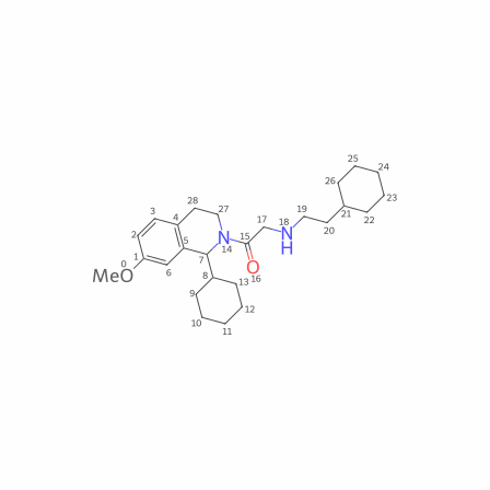 COc1ccc2c(c1)C(C1CCCCC1)N(C(=O)CNCCC1CCCCC1)CC2